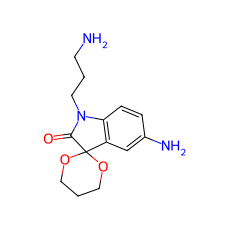 NCCCN1C(=O)C2(OCCCO2)c2cc(N)ccc21